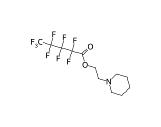 O=C(OCCN1CCCCC1)C(F)(F)C(F)(F)C(F)(F)C(F)(F)F